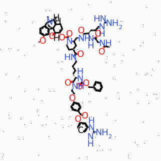 COc1ccc2c3c1O[C@H]1C(OC(=O)N4CCC(C(=O)NCCCC[C@H](NC(=O)OCc5ccccc5)C(=O)NCCOc5ccc(C(=O)Oc6cccc(NC(=N)N)c6)cc5)CC4CNC(=O)[C@@H](CCCNC(=N)N)NC(=O)CNC(C)=O)=CC[C@H]4[C@@H](C2)N(C)CC[C@]314